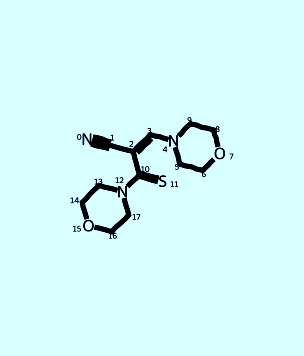 N#C/C(=C/N1CCOCC1)C(=S)N1CCOCC1